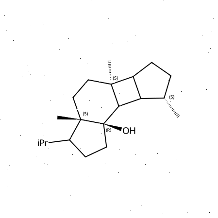 CC(C)C1CC[C@@]2(O)C3C4C(CC[C@@H]4C)[C@]3(C)CC[C@@]12C